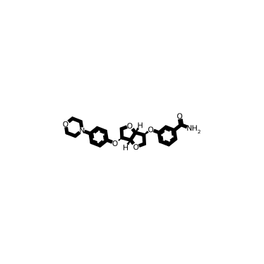 NC(=O)c1cccc(O[C@H]2CO[C@H]3[C@@H]2OC[C@H]3Oc2ccc(N3CCOCC3)cc2)c1